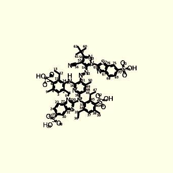 CCc1cc(C)c(S(=O)(=O)O)c(CC)c1Nc1nc(N(c2nc3ccc(S(=O)(=O)O)cc3s2)c2c(CC)cc(C)c(S(=O)(=O)O)c2CC)cc(C)c1N=Nc1c(C#N)c(C(C)(C)C)nn1-c1nc2ccc(S(=O)(=O)O)cc2s1